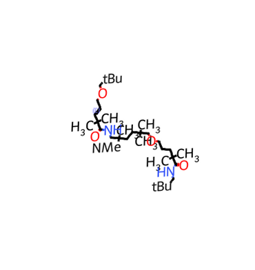 CNC(C)(CCC(C)(C)COCCCC(C)(C)C(=O)NCC(C)(C)C)CNC(=O)C(C)(C)/C=C/COCC(C)(C)C